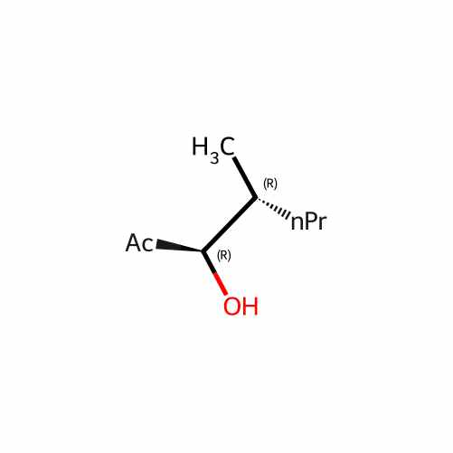 CCC[C@@H](C)[C@@H](O)C(C)=O